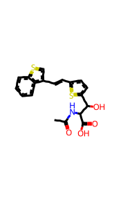 CC(=O)NC(C(=O)O)C(O)c1ccc(/C=C/c2csc3ccccc23)s1